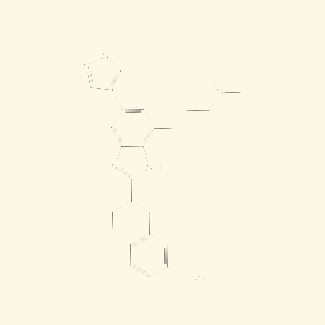 COc1ccc2c(c1)CC(c1nc3cc(-c4cn[nH]c4)cc(OCCN(C)C)c3[nH]1)CO2